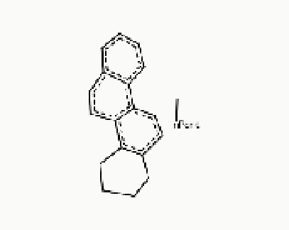 CCCCCC.c1ccc2c(c1)ccc1c3c(ccc12)CCCC3